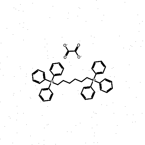 O=C([O-])C(=O)[O-].c1ccc([P+](CCCCCC[P+](c2ccccc2)(c2ccccc2)c2ccccc2)(c2ccccc2)c2ccccc2)cc1